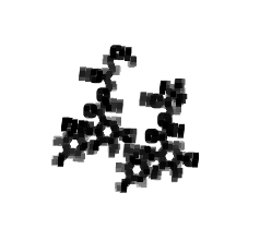 CCCC(O)CONC(=O)c1cc(Cl)c(F)c(F)c1Nc1ccc(I)cc1F.O=C(NOCC(O)C(F)(F)F)c1cc(Cl)c(F)c(F)c1Nc1ccc(I)cc1F